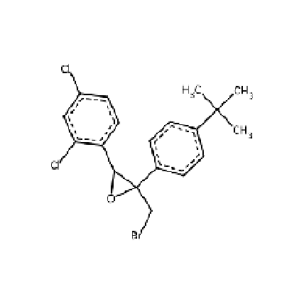 CC(C)(C)c1ccc(C2(CBr)OC2c2ccc(Cl)cc2Cl)cc1